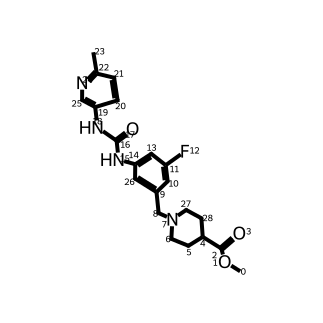 COC(=O)C1CCN(Cc2cc(F)cc(NC(=O)Nc3ccc(C)nc3)c2)CC1